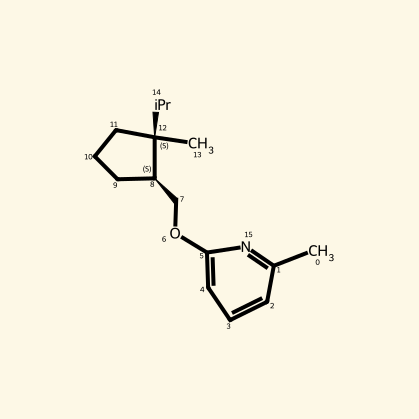 Cc1cccc(OC[C@H]2CCC[C@@]2(C)C(C)C)n1